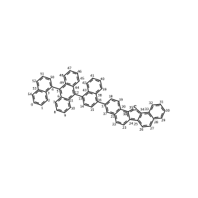 c1ccc2c(-c3c4ccccc4c(-c4ccc(-c5ccc6c(ccc7c8ccc9ccccc9c8sc67)c5)c5ccccc45)c4ccccc34)cccc2c1